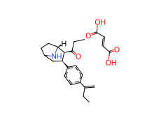 C=C(CC)c1ccc([C@H]2CC3CC[C@@H](N3)[C@H]2C(=O)CC)cc1.O=C(O)/C=C/C(=O)O